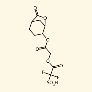 O=C(COC(=O)C(F)(F)S(=O)(=O)O)OC1CCC2CC1OC2=O